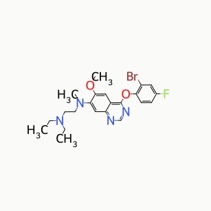 CCN(CC)CCN(C)c1cc2ncnc(Oc3ccc(F)cc3Br)c2cc1OC